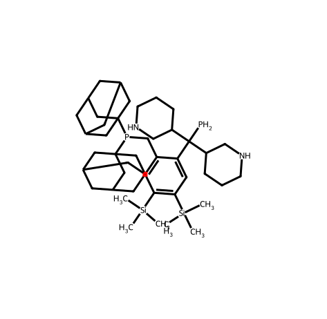 C[Si](C)(C)c1cc(CP(C23CC4CC(CC(C4)C2)C3)C23CC4CC(CC(C4)C2)C3)c(C(P)(C2CCCNC2)C2CCCNC2)cc1[Si](C)(C)C